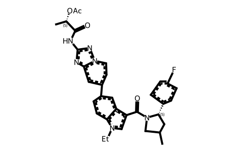 CCn1cc(C(=O)N2CC(C)C[C@H]2c2ccc(F)cc2)c2cc(-c3ccn4nc(NC(=O)[C@H](C)OC(C)=O)nc4c3)ccc21